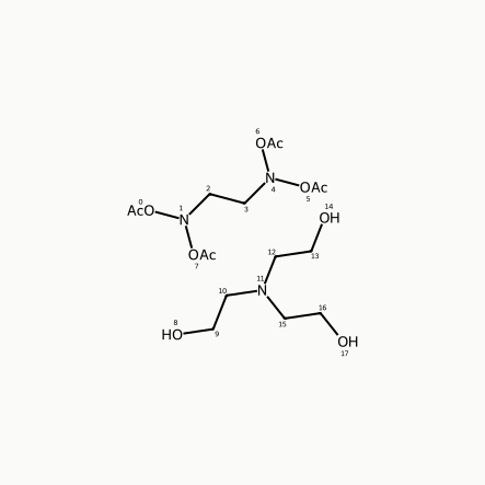 CC(=O)ON(CCN(OC(C)=O)OC(C)=O)OC(C)=O.OCCN(CCO)CCO